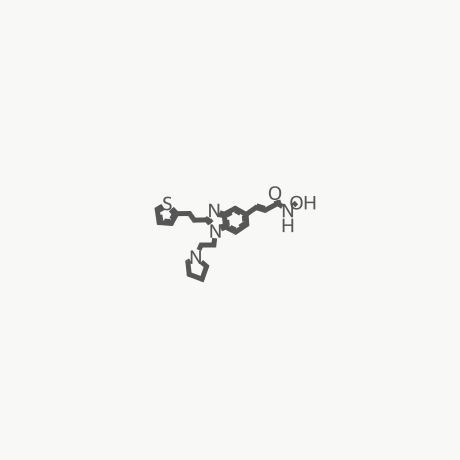 O=C(/C=C/c1ccc2c(c1)nc(CCc1cccs1)n2CCN1CCCC1)NO